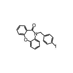 O=C1c2ccccc2Oc2ccccc2N1Cc1ccc(I)cc1